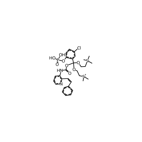 C[Si](C)(C)CCOC(OCC[Si](C)(C)C)(OC(=O)Nc1cccnc1C=Cc1ccccc1)c1cc(Cl)ccc1OP(=O)(O)O